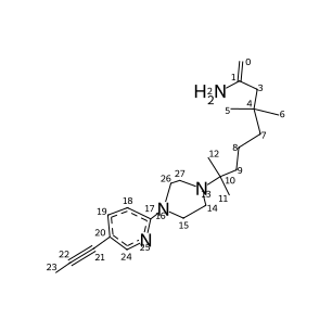 C=C(N)CC(C)(C)CCCC(C)(C)N1CCN(c2ccc(C#CC)cn2)CC1